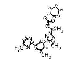 Cc1cc(-c2nccc(C(F)(F)F)n2)cc(-c2nn(C(C)OC(=O)OC3CCCCC3)nc2C)c1